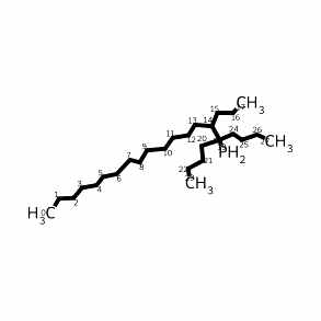 CCCCCCCCCCCCCCC(CCC)C(P)(CCCC)CCCC